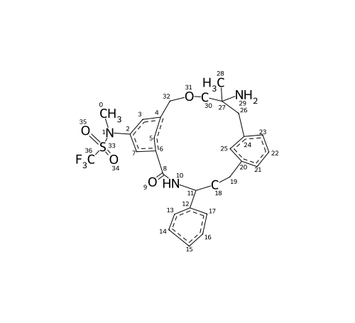 CN(c1cc2cc(c1)C(=O)NC(c1ccccc1)CCc1cccc(c1)CC(C)(N)COC2)S(=O)(=O)C(F)(F)F